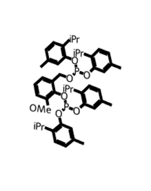 COc1cccc(COP(Oc2cc(C)ccc2C(C)C)Oc2cc(C)ccc2C(C)C)c1OP(Oc1cc(C)ccc1C(C)C)Oc1cc(C)ccc1C(C)C